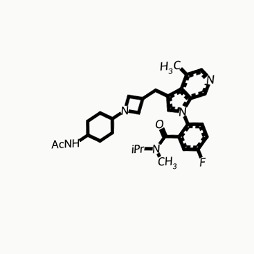 CC(=O)NC1CCC(N2CC(Cc3cn(-c4ccc(F)cc4C(=O)N(C)C(C)C)c4cncc(C)c34)C2)CC1